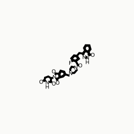 O=C1CCC(N2C(=O)c3ccc(CN4CCN(C(=O)c5cc(Cc6n[nH]c(=O)c7ccccc67)ccc5F)CC4)cc3C2=O)C(=O)N1